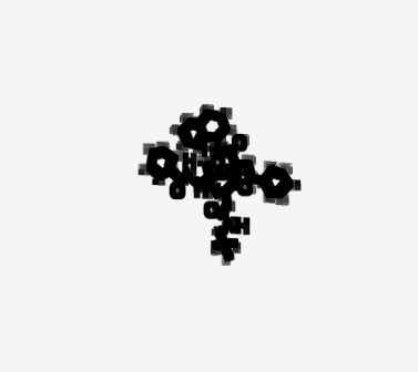 CC(C)(C)CNC(=O)CC(NC1(CNC(=O)c2ccccc2)COC1)C(=O)NC(CCc1ccccc1)C(=O)N[C@@H]1CCCc2ccccc21